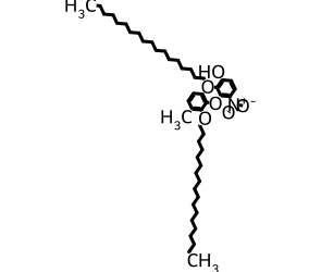 CCCCCCCCCCCCCCCCCCOc1c(C)cccc1Oc1c([N+](=O)[O-])ccc(O)c1OCCCCCCCCCCCCCCCCCC